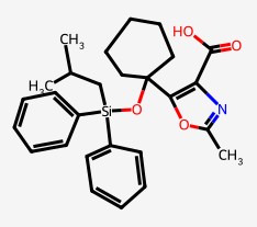 Cc1nc(C(=O)O)c(C2(O[Si](CC(C)C)(c3ccccc3)c3ccccc3)CCCCC2)o1